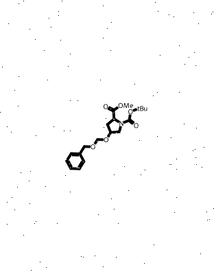 COC(=O)C1CC(OCOCc2ccccc2)CN1C(=O)OC(C)(C)C